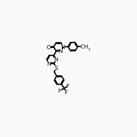 Cc1ccc(-n2ccc(=O)c(-c3ccnc(SCc4ccc(C(F)(F)F)cc4)n3)n2)cc1